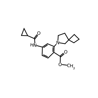 COC(=O)c1ccc(NC(=O)C2CC2)cc1N1CCC2(CCC2)C1